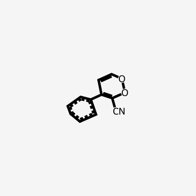 N#CC1=C(c2ccccc2)C=COO1